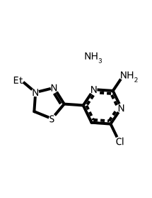 CCN1CSC(c2cc(Cl)nc(N)n2)=N1.N